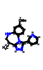 COc1ccc2c(c1)NC[C@@H](C)c1nnc(-c3cccnc3)n1-2